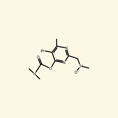 Cc1nc(C[S+](C)[O-])nc(OC(=O)N(C)C)c1C(C)C